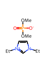 CCn1cc[n+](CC)c1.COP(=O)([O-])OC